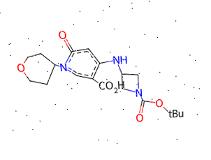 CC(C)(C)OC(=O)N1CC(Nc2cc(=O)n(C3CCOCC3)cc2C(=O)O)C1